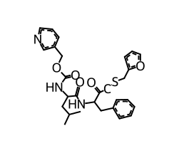 CC(C)CC(NC(=O)OCc1cccnc1)C(=O)NC(Cc1ccccc1)C(=O)CSCc1ccco1